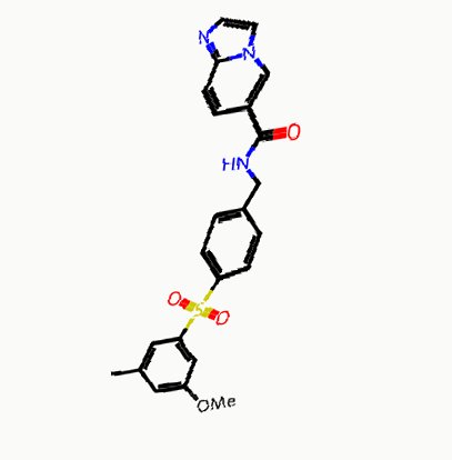 COc1cc(C)cc(S(=O)(=O)c2ccc(CNC(=O)c3ccc4nccn4c3)cc2)c1